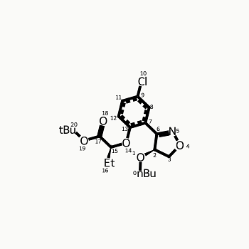 CCCCO[C@@H]1CON=C1c1cc(Cl)ccc1O[C@@H](CC)C(=O)OC(C)(C)C